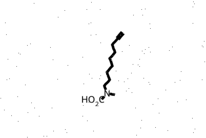 C#CCCCCCCCN(C)C(=O)O